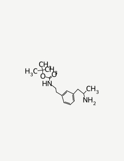 CC(N)Cc1cccc(CCNC(=O)OC(C)(C)C)c1